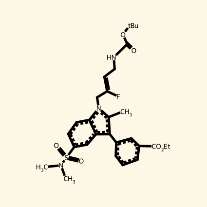 CCOC(=O)c1cccc(-c2c(C)n(C/C(F)=C/CNC(=O)OC(C)(C)C)c3ccc(S(=O)(=O)N(C)C)cc23)c1